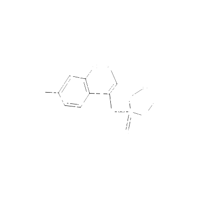 CCOP(=O)(OCC)O/C(=C/Br)c1ccc(Cl)cc1Cl